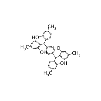 Cc1ccc(C(c2ccc(C(c3ccc(C)cc3O)c3ccc(C)cc3O)cc2)c2ccc(C)cc2O)c(O)c1